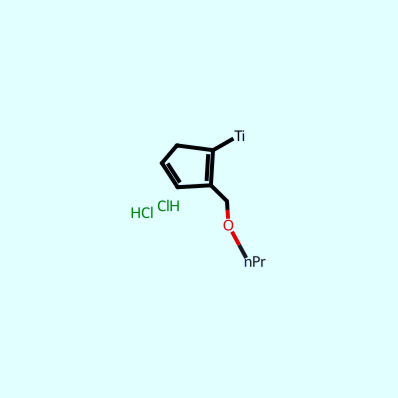 CCCOCC1=[C]([Ti])CC=C1.Cl.Cl